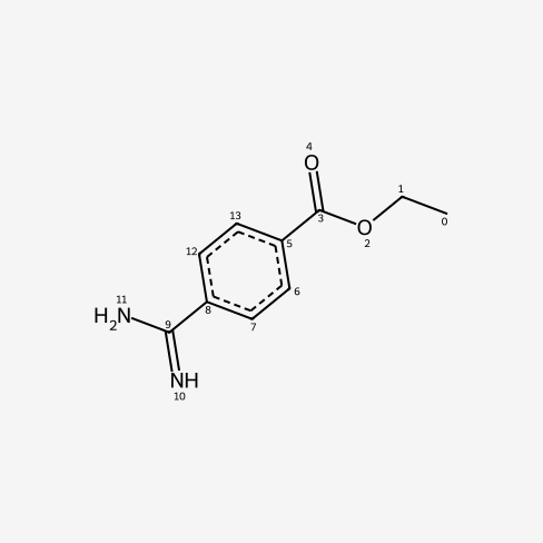 CCOC(=O)c1ccc(C(=N)N)cc1